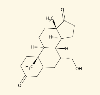 C[C@]12CCC(=O)CC1C[C@@H](CO)[C@@H]1[C@@H]2CC[C@]2(C)C(=O)CC[C@@H]12